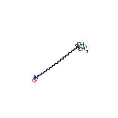 C[Si](C)(Cl)CCCCCCCCCCCCCCCCCCCCCCCCCCCCCCN=C=O